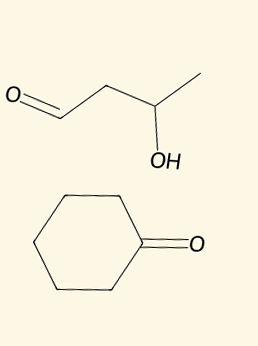 CC(O)CC=O.O=C1CCCCC1